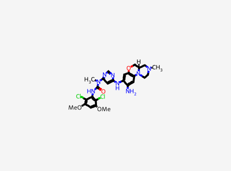 COc1cc(OC)c(Cl)c(NC(=O)N(C)c2cc(Nc3cc4c(cc3N)N3CCN(C)C[C@H]3CO4)ncn2)c1Cl